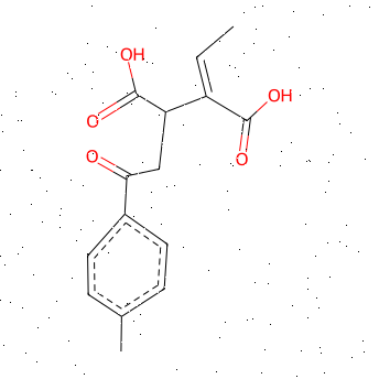 CC=C(C(=O)O)C(CC(=O)c1ccc(C)cc1)C(=O)O